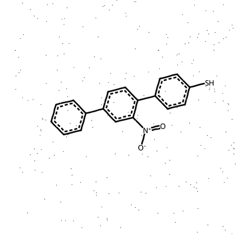 O=[N+]([O-])c1cc(-c2ccccc2)ccc1-c1ccc(S)cc1